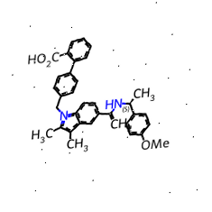 C=C(N[C@@H](C)c1ccc(OC)cc1)c1ccc2c(c1)c(C)c(C)n2Cc1ccc(-c2ccccc2C(=O)O)cc1